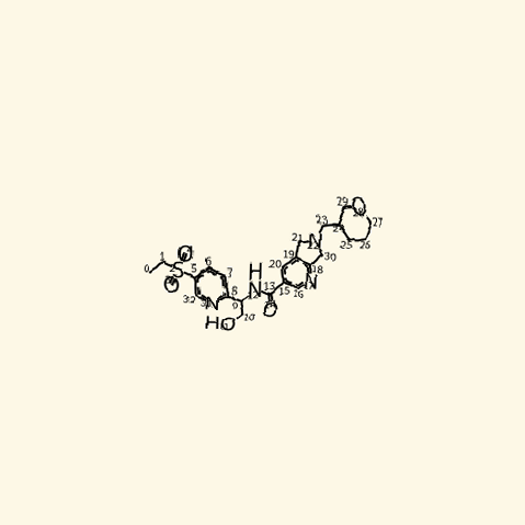 CCS(=O)(=O)c1ccc(C(CO)NC(=O)c2cnc3c(c2)CN(CC2CCCOC2)C3)nc1